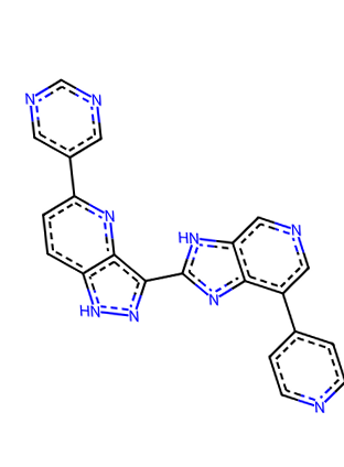 c1cc(-c2cncc3[nH]c(-c4n[nH]c5ccc(-c6cncnc6)nc45)nc23)ccn1